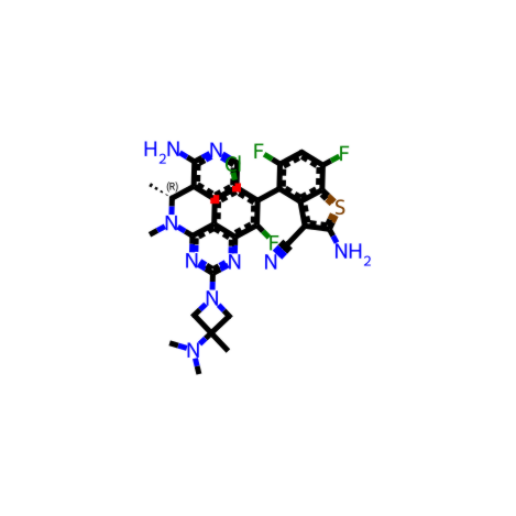 C[C@H](c1cccnc1N)N(C)c1nc(N2CC(C)(N(C)C)C2)nc2c(F)c(-c3c(F)cc(F)c4sc(N)c(C#N)c34)c(Cl)cc12